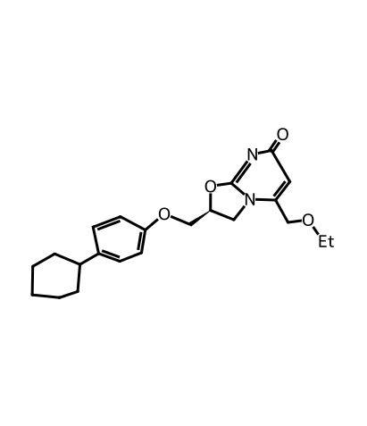 CCOCc1cc(=O)nc2n1C[C@@H](COc1ccc(C3CCCCC3)cc1)O2